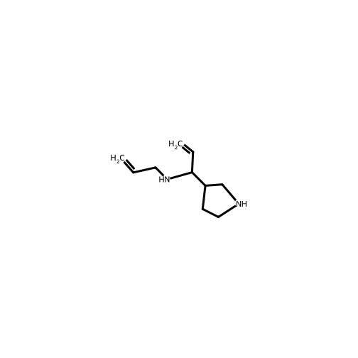 C=CCNC(C=C)C1CCNC1